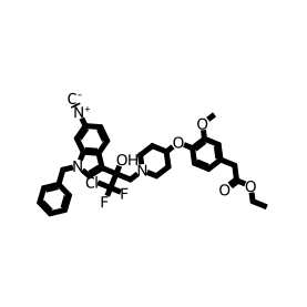 [C-]#[N+]c1ccc2c(C(O)(CN3CCC(Oc4ccc(CC(=O)OCC)cc4OC)CC3)C(F)(F)Cl)cn(Cc3ccccc3)c2c1